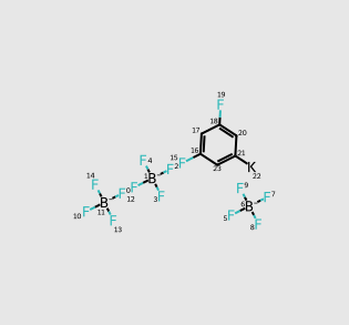 F[B-](F)(F)F.F[B-](F)(F)F.F[B-](F)(F)F.Fc1cc(F)c[c]([K])c1